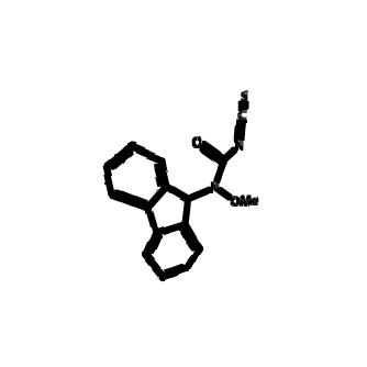 CON(C(=O)N=C=S)C1c2ccccc2-c2ccccc21